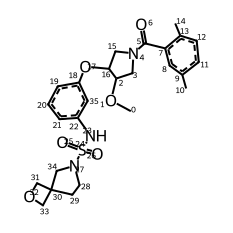 COC1CN(C(=O)c2cc(C)ccc2C)CC1Oc1cccc(NS(=O)(=O)N2CCC3(COC3)C2)c1